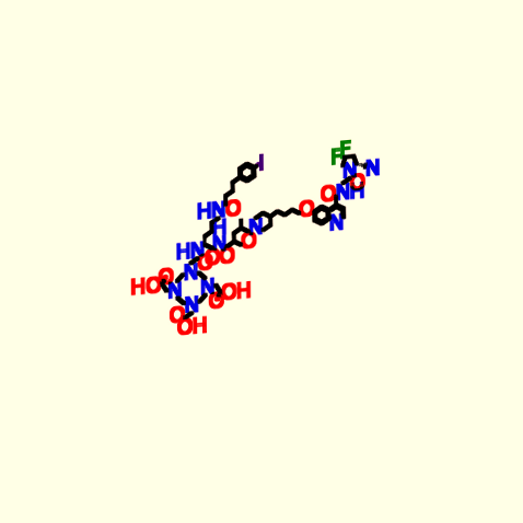 CC(CC(C)C(=O)N1CCC(CCCCOc2ccc3nccc(C(=O)NCC(=O)N4CC(F)(F)C[C@@H]4C#N)c3c2)CC1)C(=O)NC(=O)[C@H](CCCCNC(=O)CCCc1ccc(I)cc1)NC(=O)CN1CCN(CC(=O)O)CCN(CC(=O)O)CCN(CC(=O)O)CC1